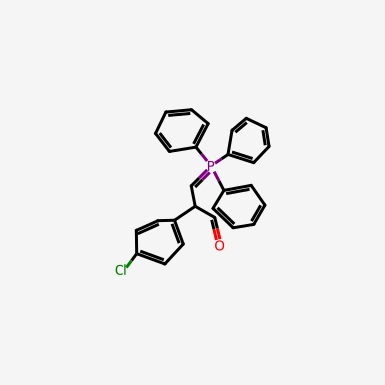 O=CC(C=P(c1ccccc1)(c1ccccc1)c1ccccc1)c1ccc(Cl)cc1